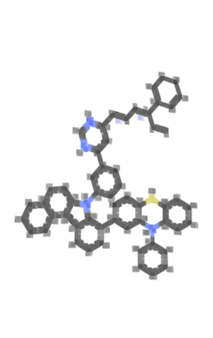 C=C/C(=C\C=C\c1cc(-c2cccc(-n3c4ccc5ccccc5c4c4cccc(-c5ccc6c(c5)N(c5ccccc5)c5ccccc5S6)c43)c2)ncn1)C1=CCCC=C1